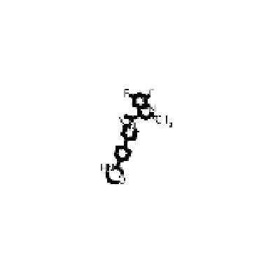 Cc1cc(-c2cnc3cc(-c4ccc(C5COCCCN5)cc4)ccn23)c2cc(F)cc(F)c2n1